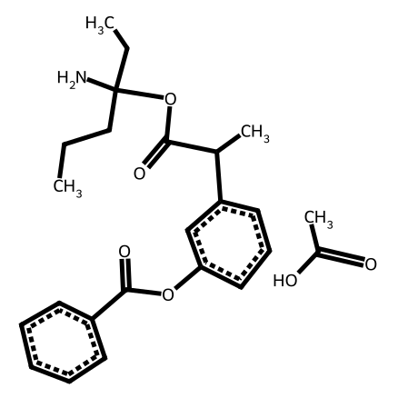 CC(=O)O.CCCC(N)(CC)OC(=O)C(C)c1cccc(OC(=O)c2ccccc2)c1